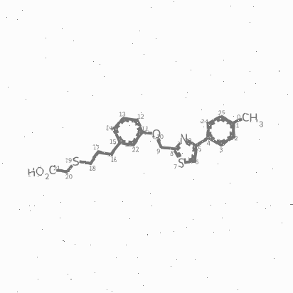 Cc1ccc(-c2csc(COc3cccc(CCCSCC(=O)O)c3)n2)cc1